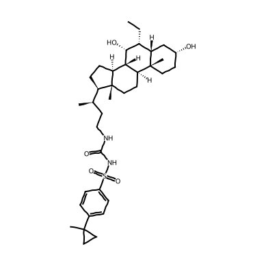 CC[C@H]1[C@@H](O)[C@@H]2[C@H](CC[C@]3(C)[C@@H]([C@H](C)CCNC(=O)NS(=O)(=O)c4ccc(C5(C)CC5)cc4)CC[C@@H]23)[C@@]2(C)CC[C@@H](O)C[C@@H]12